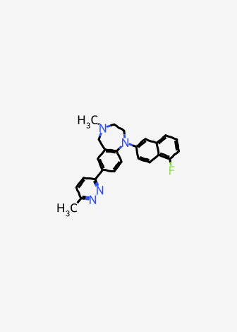 Cc1ccc(-c2ccc3c(c2)CN(C)CCN3c2ccc3c(F)cccc3c2)nn1